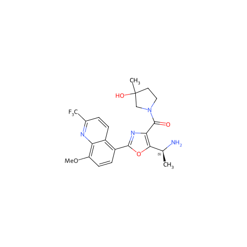 COc1ccc(-c2nc(C(=O)N3CCC(C)(O)C3)c([C@H](C)N)o2)c2ccc(C(F)(F)F)nc12